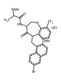 CNC(C)C(=O)NC1COc2c(cccc2C(F)(F)F)N(Cc2c(OC)ccc3cc(Br)ccc23)C1=O.Cl